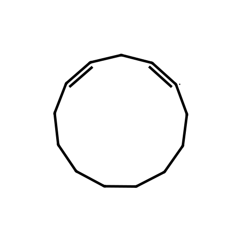 [C]1=CCC=CCCCCCCCC1